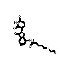 O=CCOCCCCC(=O)Nc1cccc2c1CN(C1CCC(=O)NC1=O)C2=O